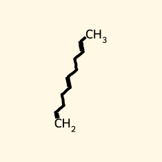 C=CCCC=CCCC=CC